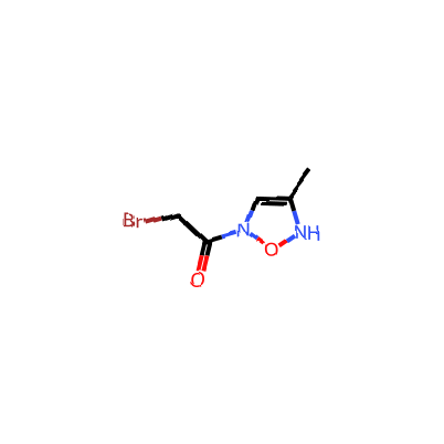 CC1=CN(C(=O)CBr)ON1